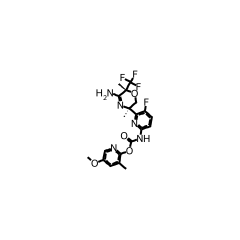 COc1cnc(OC(=O)Nc2ccc(F)c([C@]3(C)CO[C@@](C)(C(F)(F)F)C(N)=N3)n2)c(C)c1